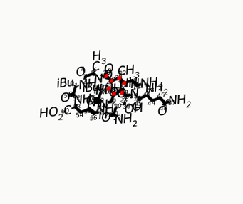 CC[C@H](C)[C@H](NC(=O)[C@H](C)NC(=O)[C@H](CCCCN)NC(=O)[C@H](CC(N)=O)NC(=O)[C@@H](NC(=O)[C@H](C)NC(=O)[C@H](CO)NC(=O)[C@@H](N)CCC(N)=O)[C@@H](C)CC)C(=O)N[C@@H](Cc1c[nH]cn1)C(=O)O